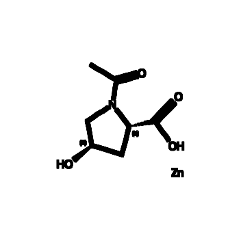 CC(=O)N1C[C@H](O)C[C@H]1C(=O)O.[Zn]